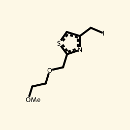 COCCOCc1nc(CI)cs1